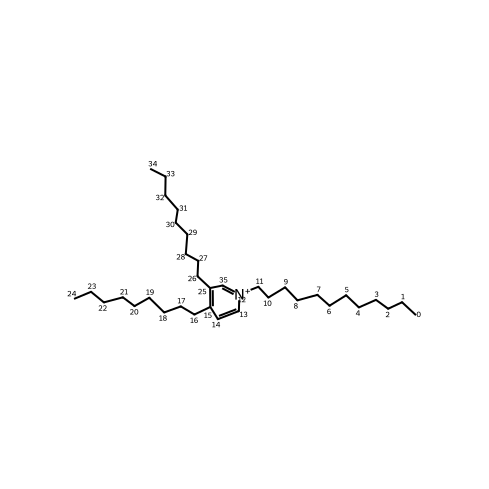 CCCCCCCCCCCC[n+]1ccc(CCCCCCCCC)c(CCCCCCCCC)c1